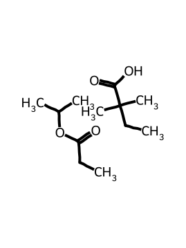 CCC(=O)OC(C)C.CCC(C)(C)C(=O)O